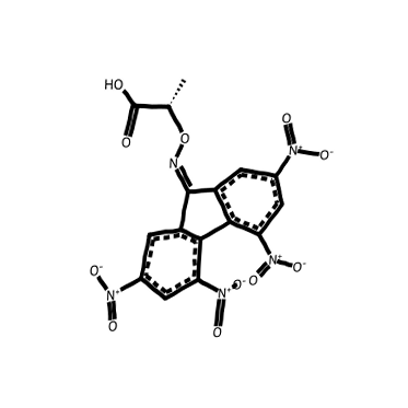 C[C@H](ON=C1c2cc([N+](=O)[O-])cc([N+](=O)[O-])c2-c2c1cc([N+](=O)[O-])cc2[N+](=O)[O-])C(=O)O